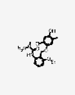 CCOc1cccc(NC(=O)N(C)N)c1COc1cc(C)c(O)cc1Cl